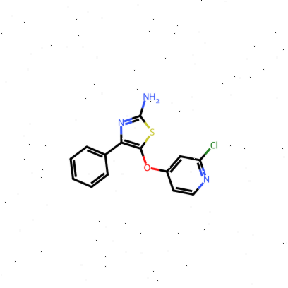 Nc1nc(-c2ccccc2)c(Oc2ccnc(Cl)c2)s1